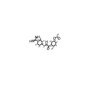 CC(=O)Oc1ccc(C)c(C(=O)NCc2ccc(C(=N)N)cc2)c1